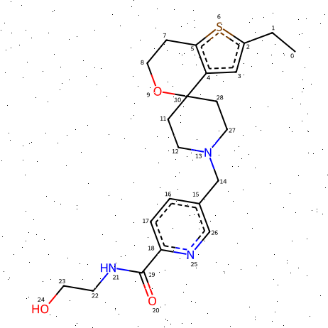 CCc1cc2c(s1)CCOC21CCN(Cc2ccc(C(=O)NCCO)nc2)CC1